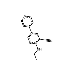 CCNc1ncc(-c2ccncc2)cc1C#N